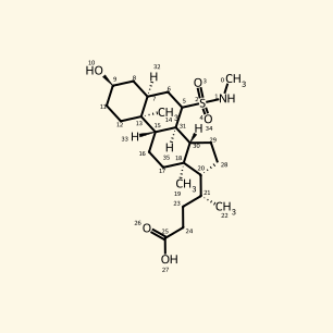 CNS(=O)(=O)C1C[C@@H]2C[C@H](O)CC[C@]2(C)[C@H]2CC[C@]3(C)[C@@H]([C@H](C)CCC(=O)O)CC[C@H]3[C@H]12